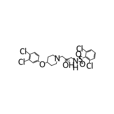 O=S(=O)(NC[C@H](O)CN1CCC(Oc2ccc(Cl)c(Cl)c2)CC1)c1c(Cl)cccc1Cl